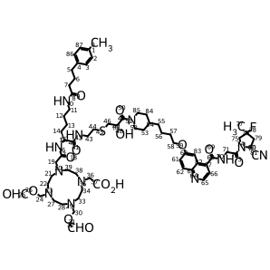 Cc1ccc(CCCC(=O)NCCCC[C@H](NC(=O)CN2CCN(COC=O)CCN(COC=O)CCN(CC(=O)O)CC2)C(=O)NCCSC[C@@H](O)C(=O)N2CCC(CCCCOc3ccc4nccc(C(=O)NCC(=O)N5CC(C)(F)C[C@@H]5C#N)c4c3)CC2)cc1